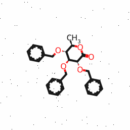 C[C@H]1OC(=O)[C@H](OCc2ccccc2)[C@@H](OCc2ccccc2)[C@@H]1OCc1ccccc1